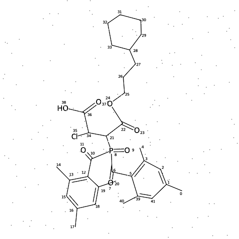 Cc1cc(C)c(C(=O)P(=O)(C(=O)c2c(C)cc(C)cc2C)C(C(=O)OCCCC2CCCCC2)C(Cl)C(=O)O)c(C)c1